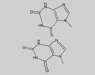 Cn1cnc2[nH]c(=O)[nH]c(=O)c21.Cn1cnc2[nH]c(=O)[nH]c(=O)c21